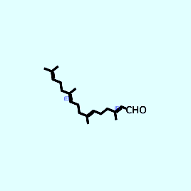 CC(C)=CCC/C(C)=C/CCC(C)=CCC/C(C)=C/C=O